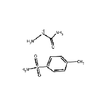 Cc1ccc(S(N)(=O)=O)cc1.NNC(N)=O